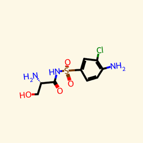 Nc1ccc(S(=O)(=O)NC(=O)[C@@H](N)CO)cc1Cl